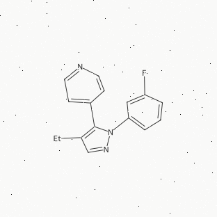 [CH2]Cc1cnn(-c2cccc(F)c2)c1-c1ccncc1